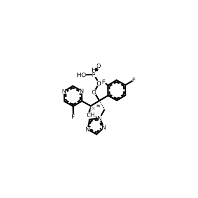 C[C@@H](c1ncncc1F)[C@@](Cn1cncn1)(OO[PH](=O)O)c1ccc(F)cc1F